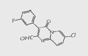 O=Cc1nc2ccc(Cl)cn2c(=O)c1-c1cccc(F)c1